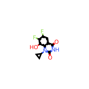 O=c1[nH]c(=O)n(C2CC2)c2c(O)c(F)c(F)cc12